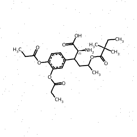 CCC(=O)Oc1ccc(C(CC(C)OC(=O)C(C)(C)CC)[C@H](N)C(=O)O)cc1OC(=O)CC